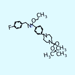 CCO/C(=N\Cc1ccc(F)cc1)c1ccc(N2CCN(C(=O)OC(C)(C)C)CC2)cc1